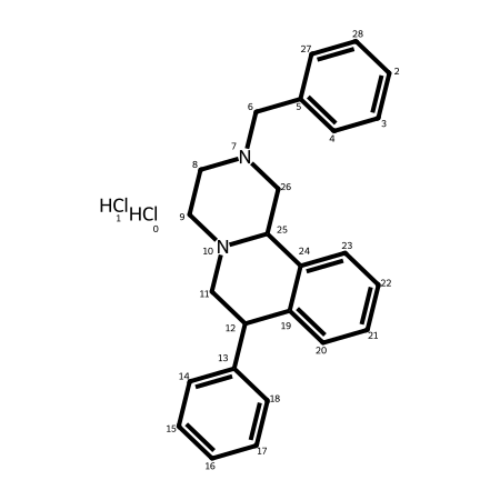 Cl.Cl.c1ccc(CN2CCN3CC(c4ccccc4)c4ccccc4C3C2)cc1